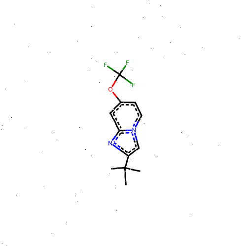 CC(C)(C)c1cn2ccc(OC(F)(F)F)cc2n1